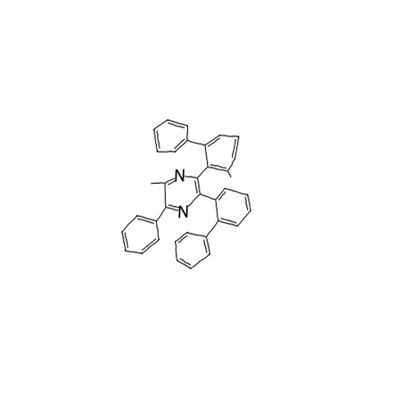 Cc1cccc(-c2ccccc2)c1-c1nc(C)c(-c2ccccc2)nc1-c1ccccc1-c1ccccc1